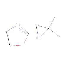 C1=NCCO1.CC1(C)CN1